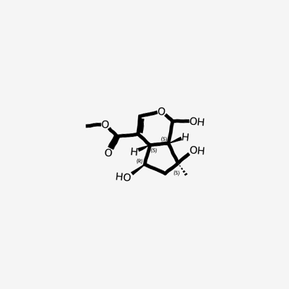 COC(=O)C1=COC(O)[C@H]2[C@@H]1[C@H](O)C[C@]2(C)O